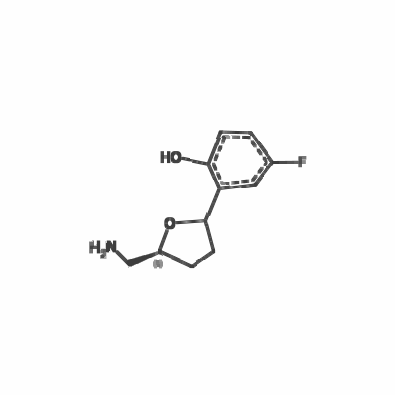 NC[C@@H]1CCC(c2cc(F)ccc2O)O1